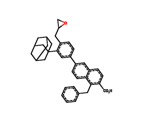 O=C(O)c1ccc2cc(-c3ccc(CC4CO4)c(C45CC6CC(CC(C6)C4)C5)c3)ccc2c1Cc1ccccc1